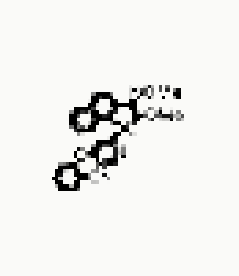 CON=C(C(=O)OC)c1ccc2ccccc2c1Oc1cc(Oc2ccccc2C#N)ncn1